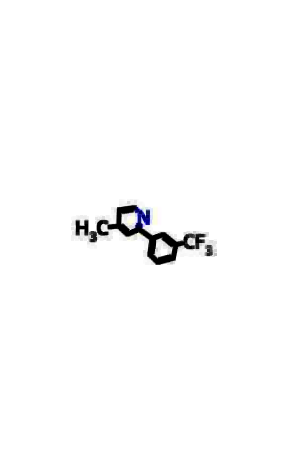 Cc1ccnc(-c2cccc(C(F)(F)F)c2)c1